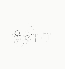 COc1c(OCOC(=O)C(C)C)c(C(=O)NCC(C=O)C(=O)O)nc(C)c1C1CCCCOOC(=O)C1Cc1ccccc1